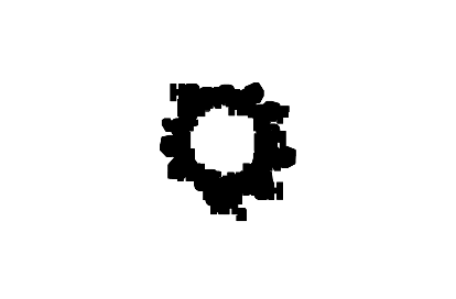 CCCC[C@H]1C(=O)N(C)CC(=O)N[C@@H](CC(=O)O)C(=O)N[C@@H](C(C)C)C(=O)N(C)[C@@H](Cc2ccccc2)C(=O)N[C@@H](Cc2ccc(F)cc2)C(=O)N(C)CC(=O)N[C@@H](Cc2c[nH]c3ccccc23)C(=O)N[C@@H](Cc2ccc(O)cc2)C(=O)N[C@@H](CC(C)C)C(=O)N[C@H](C(=O)NCC(N)=O)CSCC(=O)N[C@@H](Cc2ccccc2)C(=O)N(C)[C@@H](Cc2ccccc2)C(=O)N1C